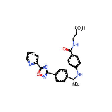 CCCC[C@@H](Nc1ccc(C(=O)NCCC(=O)O)cc1)c1ccc(-c2noc(-c3ccccn3)n2)cc1